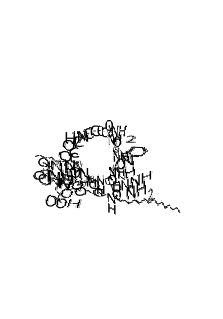 CCCCCCCCCCCCCCCC(=O)NCCOCCOCC(=O)NC(CCC(=O)O)C(=O)N[C@@H](CO)C(=O)N[C@@H](CCCC)C(=O)N[C@H]1CCC(=O)CNCCCC[C@@H](C(N)=O)NC(=O)[C@H](Cc2c[nH]c3ccccc23)NC(=O)[C@H](CCCNC(=N)N)NC(=O)C(Cc2ccccc2)NC(=O)[C@@H]2C[C@@H](O)CN2C1=O